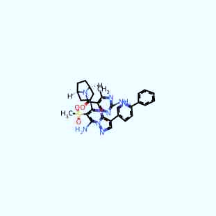 Cc1nc(N)ncc1C(=O)N1[C@@H]2CC[C@H]1C[C@@H](c1nc3c(-c4ccc(-c5ccccc5)nc4)cnn3c(N)c1S(C)(=O)=O)C2